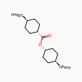 CCCCCCC[C@H]1CC[C@H](C(=O)O[C@H]2CC[C@H](CCCCC)CC2)CC1